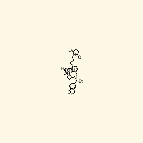 CCC(c1ccc2c(c1)CCO2)N(Cc1ccc(OCCN2C(=O)CCC2=O)c(C)c1)C1CCC1.O=C(O)O